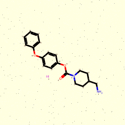 I.NCC1CCN(C(=O)Oc2ccc(Oc3ccccc3)cc2)CC1